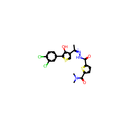 C/C(=N/NC(=O)c1ccc(C(=O)N(C)C)s1)c1csc(-c2ccc(Cl)c(Cl)c2)c1O